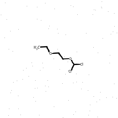 CCOCCOC(Cl)Cl